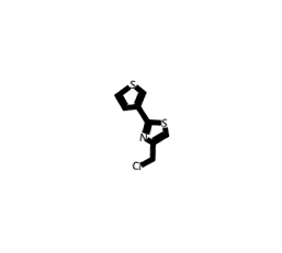 ClCc1csc(-c2ccsc2)n1